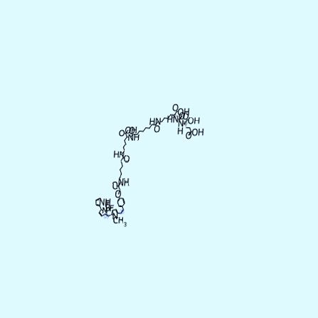 Cn1c(/C=C\c2ccc(OCC(=O)NCCCCCC(=O)NCCCCC(NC(=O)CCCCCCC(=O)NCCCC[C@H](NC(=O)N[C@@H](CCC(=O)O)C(=O)O)C(=O)O)C(=O)O)cc2)ccc1/C=C1/C=CC(c2ccc[nH]2)=[N+]1B(F)F